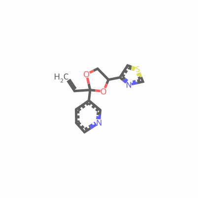 C=CC1(c2cccnc2)OCC(c2cscn2)O1